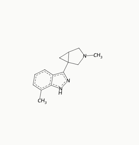 Cc1cccc2c(C34CC3CN(C)C4)n[nH]c12